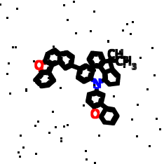 CC1(C)C2=CCCC(N(c3ccc(-c4ccc5ccc6oc7ccccc7c6c5c4)cc3)c3ccc4c(c3)C3=CC=CCC3O4)=C2c2ccccc21